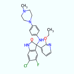 CCOc1ncccc1C1(Nc2ccc(N3CCN(C)CC3)cc2)C(=O)Nc2cc(Cl)c(F)cc21